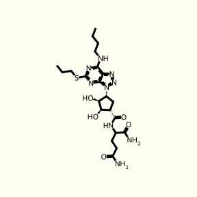 CCCCNc1nc(SCCC)nc2c1nnn2[C@@H]1C[C@H](C(=O)NC(CCC(N)=O)C(N)=O)[C@@H](O)[C@H]1O